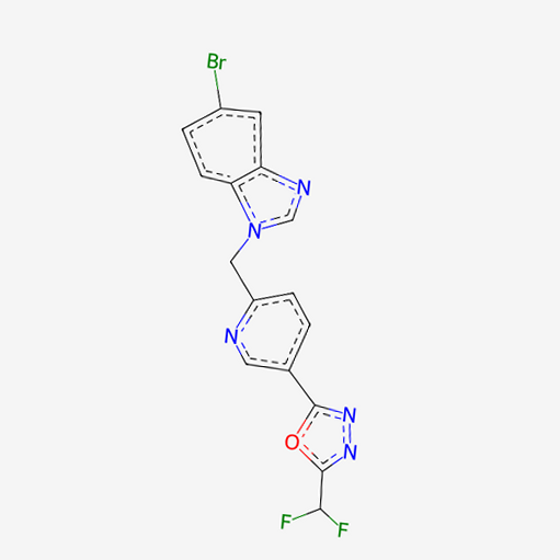 FC(F)c1nnc(-c2ccc(Cn3cnc4cc(Br)ccc43)nc2)o1